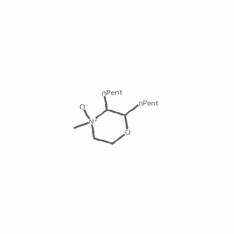 CCCCCC1OCC[N+](C)([O-])C1CCCCC